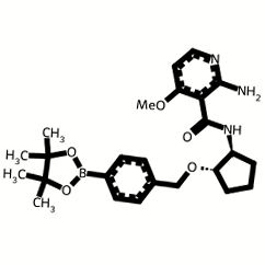 COc1ccnc(N)c1C(=O)N[C@H]1CCC[C@@H]1OCc1ccc(B2OC(C)(C)C(C)(C)O2)cc1